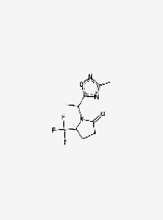 Cc1noc(C(C)N2C(=O)CCC2C(F)(F)F)n1